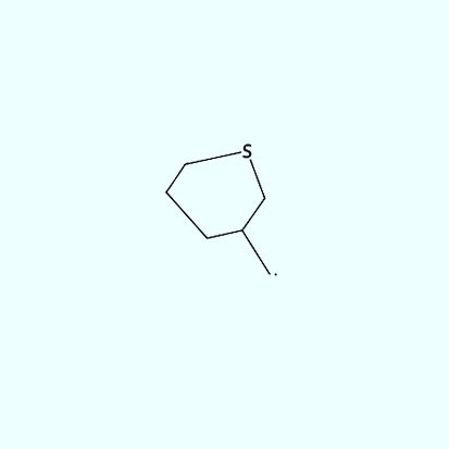 [CH2]C1CCCSC1